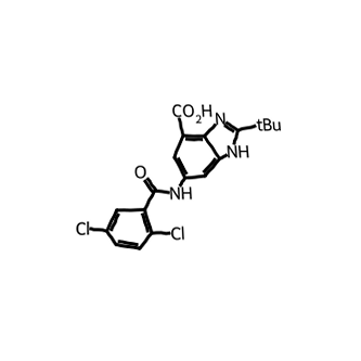 CC(C)(C)c1nc2c(C(=O)O)cc(NC(=O)c3cc(Cl)ccc3Cl)cc2[nH]1